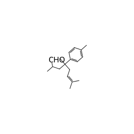 CC(C)=CCC(C)(CC(C)C=O)c1ccc(C)cc1